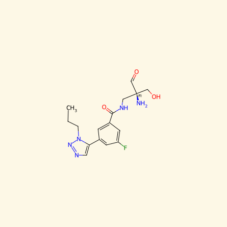 CCCn1nncc1-c1cc(F)cc(C(=O)NC[C@](N)(C=O)CO)c1